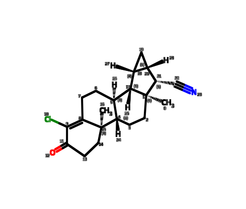 C[C@]12CC[C@H]3[C@@H](CCC4=C(Cl)C(=O)CC[C@@]43C)[C@@H]1[C@@H]1C[C@@H]1[C@@H]2C#N